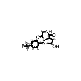 O=C1CNC(=O)[C@]2(C[C@@H](O)C2)N1Cc1ccc(C(F)(F)F)cc1